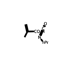 C=C(C)C(=O)O.CCCN=C=O